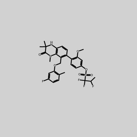 COc1cc(OS(=O)(=O)C(F)(F)C(C)F)ccc1-c1ccc2c(c1COc1cc(F)ccc1C)N(C)C(=O)C(C)(C)N2